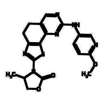 COc1ccc(Nc2ncc3c(n2)-c2sc(N4C(=O)OCC4C)nc2CC3)cn1